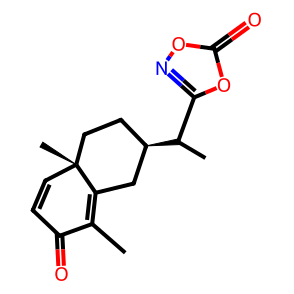 CC1=C2C[C@H](C(C)c3noc(=O)o3)CC[C@@]2(C)C=CC1=O